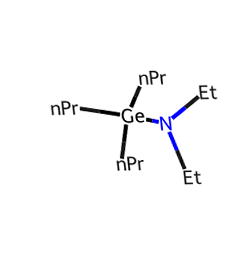 CC[CH2][Ge]([CH2]CC)([CH2]CC)[N](CC)CC